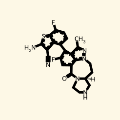 Cc1nn2c3c(cc(F)c(-c4ccc(F)c5sc(N)c(C#N)c45)c13)C(=O)N1CCNC[C@@H]1CC2